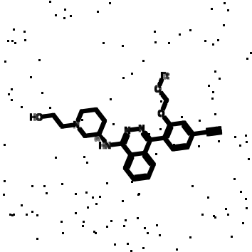 C#Cc1ccc(-c2nnc(N[C@@H]3CCCN(CCO)C3)c3ccccc23)c(OCOCC)c1